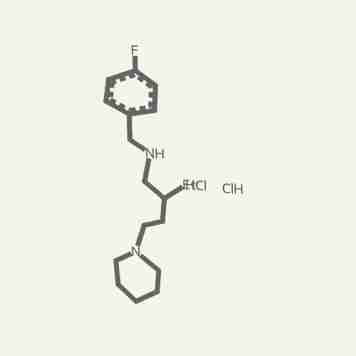 CCC(CCN1CCCCC1)CNCc1ccc(F)cc1.Cl.Cl